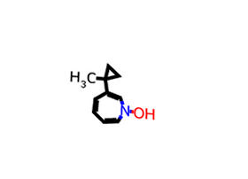 CC1(C2=CN(O)C=CC=C2)CC1